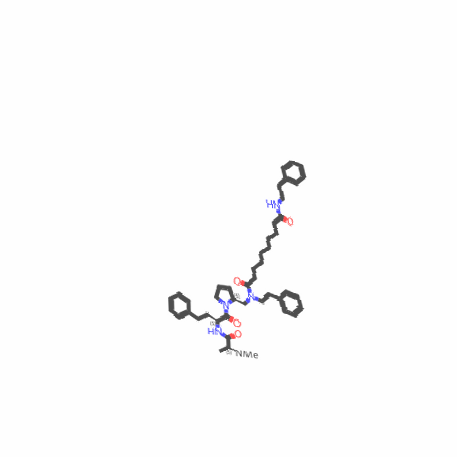 CN[C@@H](C)C(=O)N[C@@H](CCc1ccccc1)C(=O)N1CCC[C@H]1CN(CCc1ccccc1)C(=O)CCCCCCCCC(=O)NCCc1ccccc1